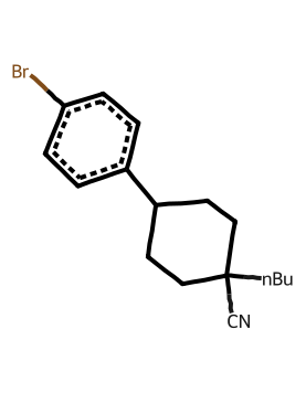 CCCCC1(C#N)CCC(c2ccc(Br)cc2)CC1